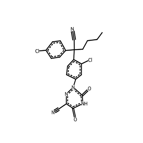 CCCCC(C#N)(c1ccc(Cl)cc1)c1ccc(-n2nc(C#N)c(=O)[nH]c2=O)cc1Cl